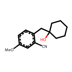 COc1ccc(CC2(O)CCCCC2)c(C#N)c1